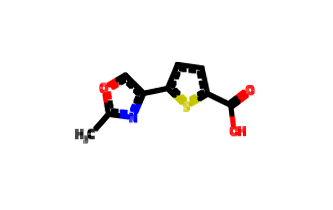 Cc1nc(-c2ccc(C(=O)O)s2)co1